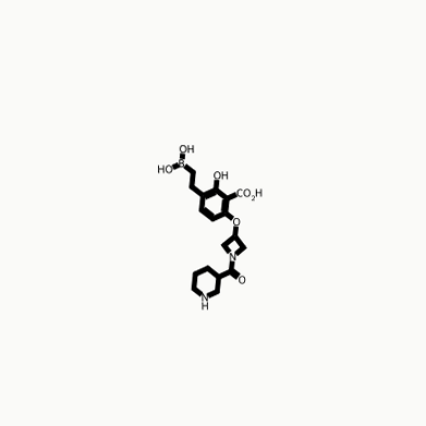 O=C(O)c1c(OC2CN(C(=O)C3CCCNC3)C2)ccc(CCB(O)O)c1O